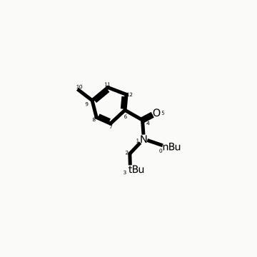 CCCCN(CC(C)(C)C)C(=O)c1ccc(C)cc1